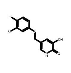 O=c1[nH]cc(CSc2ccc(Cl)c(Cl)c2)cc1O